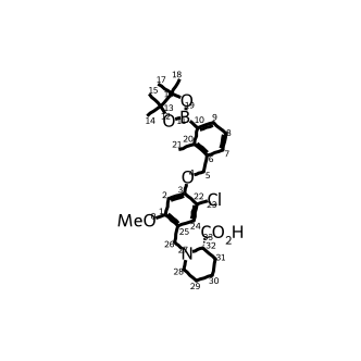 COc1cc(OCc2cccc(B3OC(C)(C)C(C)(C)O3)c2C)c(Cl)cc1CN1CCCC[C@H]1C(=O)O